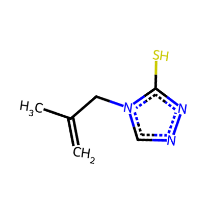 C=C(C)Cn1cnnc1S